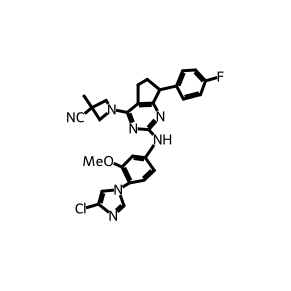 COc1cc(Nc2nc3c(c(N4CC(C)(C#N)C4)n2)CCC3c2ccc(F)cc2)ccc1-n1cnc(Cl)c1